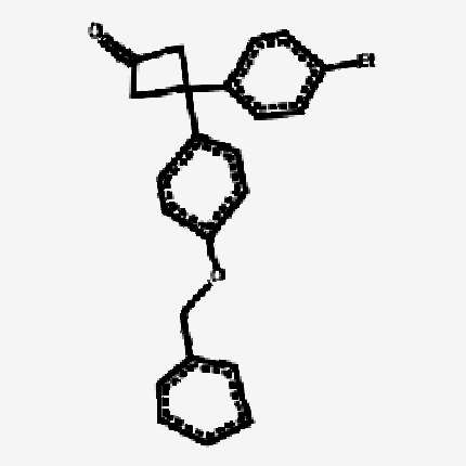 CCc1ccc(C2(c3ccc(OCc4ccccc4)cc3)CC(=O)C2)cc1